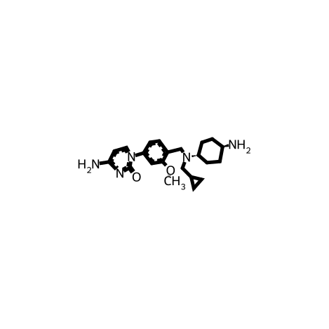 COc1cc(-n2ccc(N)nc2=O)ccc1CN(CC1CC1)[C@H]1CC[C@H](N)CC1